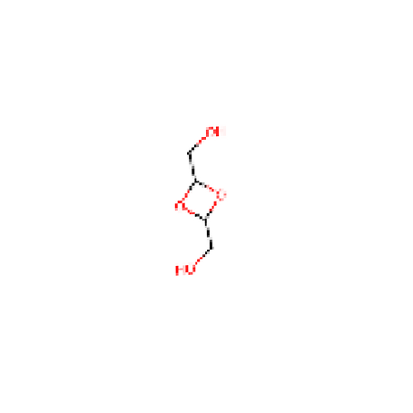 OCC1OC(CO)O1